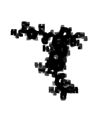 C=C(C)[C@@H]1CCC2[C@@H](CC(=O)N[C@@H]3CC[C@H](N(C)C)C3)C[C@]3(C)[C@H](CC[C@@H]4[C@@]5(C)CC[C@H](OC(=O)CC(C)(C)C(=O)O)C(C)(C)[C@@H]5CC[C@]43C)[C@H]21